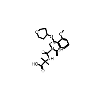 C=C(S)N(C[C@H](OC1CCOCC1)c1ccccc1OC)C(=O)NC(C)(C)C(=O)O